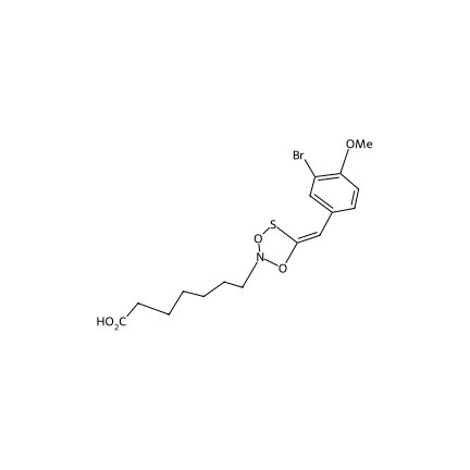 COc1ccc(C=C2ON(CCCCCCC(=O)O)OS2)cc1Br